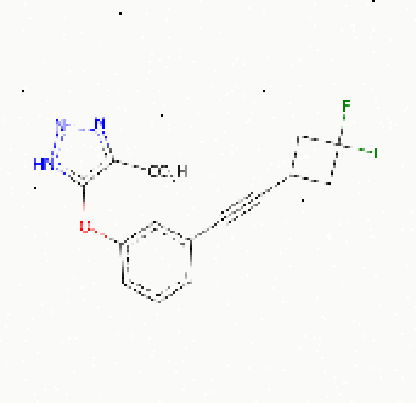 O=C(O)c1nn[nH]c1Oc1cccc(C#CC2CC(F)(F)C2)c1